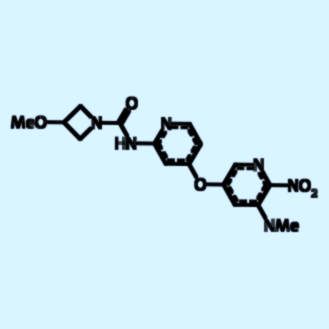 CNc1cc(Oc2ccnc(NC(=O)N3CC(OC)C3)c2)cnc1[N+](=O)[O-]